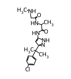 CNCC(=O)NC(C)C(=O)Nc1cc(C(C)(C)c2ccc(Cl)cc2)n[nH]1